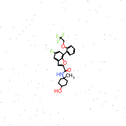 CC1(NC(=O)c2cc3cc(F)cc(-c4ccccc4OCC(F)(F)F)c3o2)CCC(O)CC1